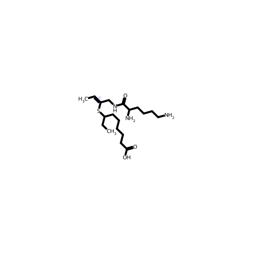 C/C=C(/CNC(=O)C(N)CCCCN)SC(CC)CCCCCC(=O)O